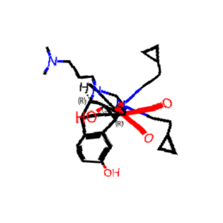 CN(C)CCCN1CC[C@]23CC(=O)N(CC4CC4)C(=O)N(CC4CC4)CCC[C@@]2(O)[C@H]1Cc1ccc(O)cc13